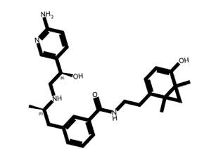 C[C@H](Cc1cccc(C(=O)NCCC2=CC=C(O)C3(C)CC23C)c1)NC[C@H](O)c1ccc(N)nc1